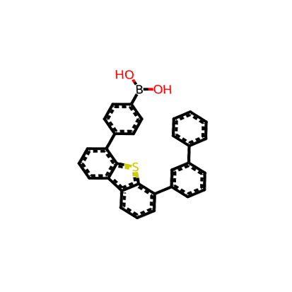 OB(O)c1ccc(-c2cccc3c2sc2c(-c4cccc(-c5ccccc5)c4)cccc23)cc1